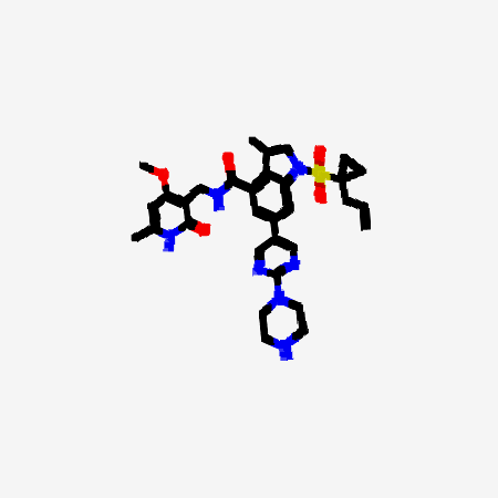 C=CCC1(S(=O)(=O)n2cc(C)c3c(C(=O)NCc4c(OC)cc(C)[nH]c4=O)cc(-c4cnc(N5CCNCC5)nc4)cc32)CC1